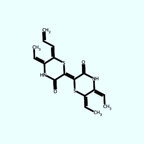 C=C/C=C1/S/C(=C2/SC(=C/C)/C(=C\C)NC2=O)C(=O)N/C1=C/C